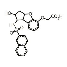 O=C(O)COc1cccc2c1OC1CC(O)C(NS(=O)(=O)c3ccc4ccccc4c3)C21